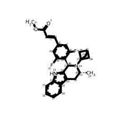 COC(=O)/C=C/c1cc(F)c([C@@H]2c3[nH]c4ccccc4c3C[C@@H](C)N2C23CC(C2)C3)c(F)c1